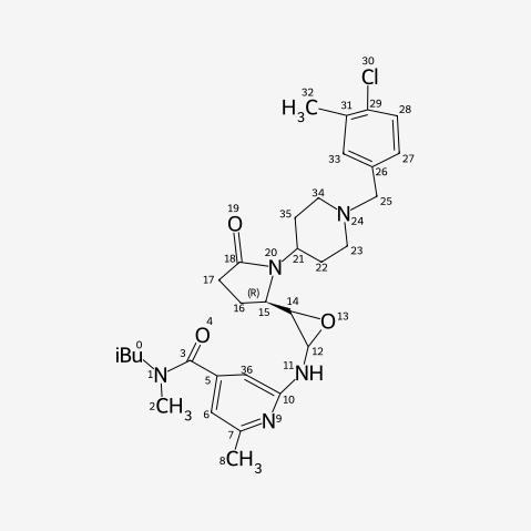 CCC(C)N(C)C(=O)c1cc(C)nc(NC2OC2[C@H]2CCC(=O)N2C2CCN(Cc3ccc(Cl)c(C)c3)CC2)c1